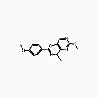 COc1ccc(C2=NN(C)c3nc(SC)ncc3O2)cc1